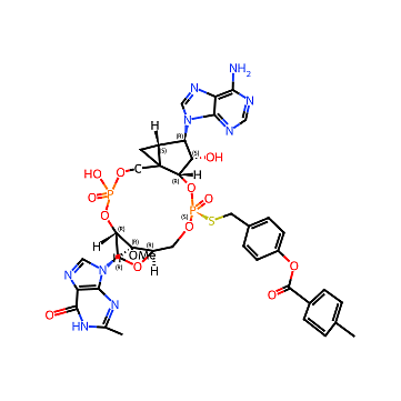 CO[C@H]1[C@H]2OP(=O)(O)OCC34C[C@@H]3[C@@H](n3cnc5c(N)ncnc53)[C@H](O)[C@@H]4O[P@@](=O)(SCc3ccc(OC(=O)c4ccc(C)cc4)cc3)OC[C@H]1O[C@H]2n1cnc2c(=O)[nH]c(C)nc21